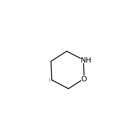 [C]1CCNOC1